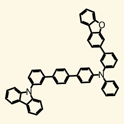 c1ccc(N(c2ccc(-c3ccc(-c4cccc(-n5c6ccccc6c6ccccc65)c4)cc3)cc2)c2cccc(-c3ccc4c(c3)oc3ccccc34)c2)cc1